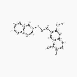 COc1cc2ncn(C)c(=O)c2cc1OCCc1ccc2ccccc2n1